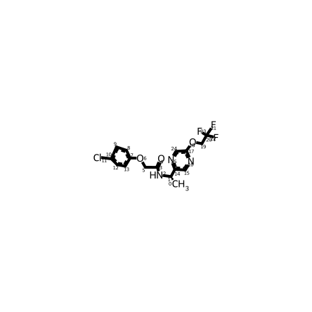 C[C@@H](NC(=O)COc1ccc(Cl)cc1)c1cnc(OCC(F)(F)F)cn1